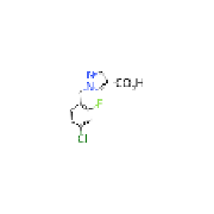 O=C(O)c1cnn(Cc2ccc(Cl)cc2F)c1